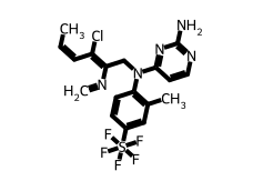 C=N/C(CN(c1ccnc(N)n1)c1ccc(S(F)(F)(F)(F)F)cc1C)=C(Cl)\C=C/C